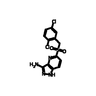 Nc1n[nH]c2ccc(S(=O)(=O)Cc3cc(Cl)ccc3Cl)nc12